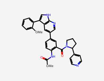 COC(=O)Nc1ccc(-c2cnc3[nH]cc(-c4ccccc4OC)c3c2)cc1C(=O)N1CCCC1c1ccncc1